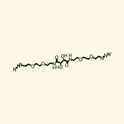 [N-]=[N+]=NCCOCCOCCNC(=O)[C@H](O)[C@@H](O)C(=O)NCCOCCOCCN=[N+]=[N-]